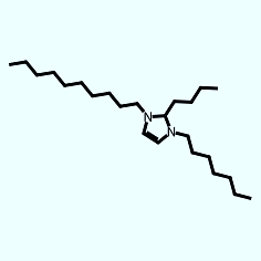 CCCCCCCCCCN1C=CN(CCCCCCC)C1CCCC